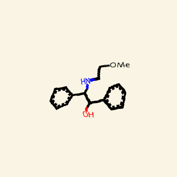 COCCNC(c1ccccc1)C(O)c1ccccc1